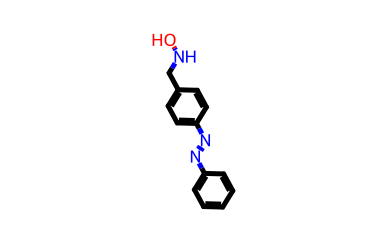 ONCc1ccc(N=Nc2ccccc2)cc1